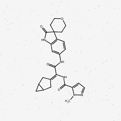 Cn1nccc1C(=O)NC(C(=O)Nc1ccc2c(c1)NC(=O)C21CCOCC1)=C1CC2CC2C1